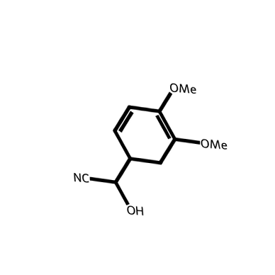 COC1=C(OC)CC(C(O)C#N)C=C1